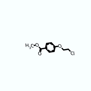 COC(=O)c1ccc(OCCCl)cc1